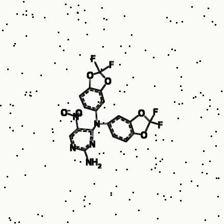 Nc1ncc([N+](=O)[O-])c(N(c2ccc3c(c2)OC(F)(F)O3)c2ccc3c(c2)OC(F)(F)O3)n1